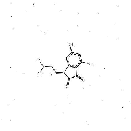 CCN(CC)CCN1C(=O)C(=O)c2c(C)cc(C)cc21